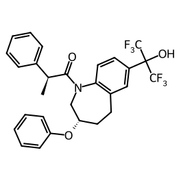 C[C@H](C(=O)N1C[C@@H](Oc2ccccc2)CCc2cc(C(O)(C(F)(F)F)C(F)(F)F)ccc21)c1ccccc1